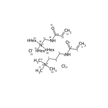 C=CC(=O)NCCC[N+](C)(C)C.C=CC(=O)NC[N+](CCCCCC)(CCCCCC)CCCCCC.[Cl-].[Cl-]